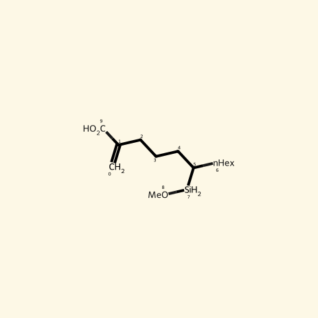 C=C(CCCC(CCCCCC)[SiH2]OC)C(=O)O